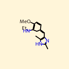 CCNC1=C(OC)C=CC(=Cc2nc(C)[nH]c2C)C1